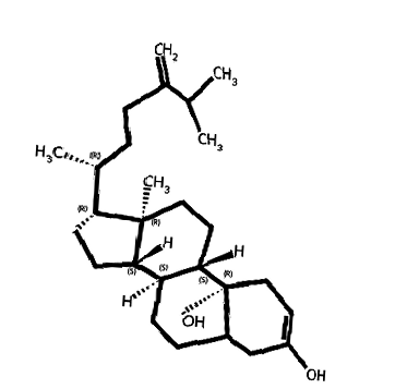 C=C(CC[C@@H](C)[C@H]1CC[C@H]2[C@@H]3CCC4CC(O)=CC[C@]4(CO)[C@H]3CC[C@]12C)C(C)C